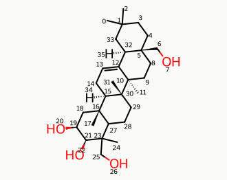 CC1(C)CC[C@]2(CO)CC[C@]3(C)C(=CC[C@@H]4[C@@]5(C)C[C@H](O)[C@H](O)C(C)(CO)C5CC[C@]43C)[C@H]2C1